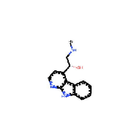 CC(C)(C)NC[C@H](O)c1ccnc2[nH]c3ccccc3c12